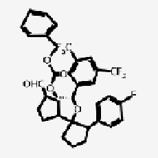 O=CC1CCC(C2(O[C@H](COC(=O)OCc3ccccc3)c3cc(C(F)(F)F)cc(C(F)(F)F)c3)CCCC2c2ccc(F)cc2)C1